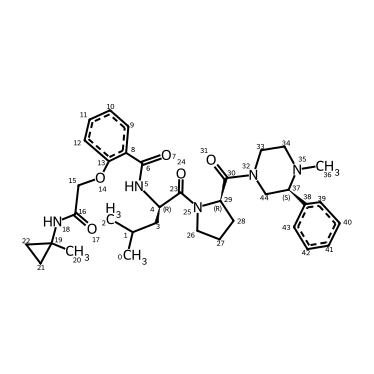 CC(C)C[C@@H](NC(=O)c1ccccc1OCC(=O)NC1(C)CC1)C(=O)N1CCC[C@@H]1C(=O)N1CCN(C)[C@@H](c2ccccc2)C1